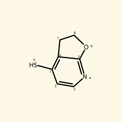 Sc1ccnc2c1CCO2